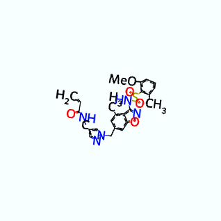 C=CC(=O)NCc1cnn(Cc2cc(C)c3c(NS(=O)(=O)c4c(C)cccc4OC)noc3c2)c1